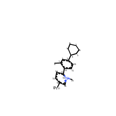 Cc1cc(C2CCCCC2)ccc1-c1ccc(C(C)C)c[n+]1C